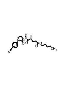 CCCCCOC(=O)CCNC(=O)N[C@H]1CCN(c2ccc(C#N)cc2)C1=O